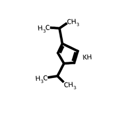 CC(C)[C]1C=CC(C(C)C)=C1.[KH]